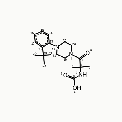 CC(C)(NC(=O)O)C(=O)N1CCN(c2ccccc2C(C)(C)C)CC1